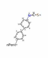 CCCCCc1ccc(-c2ccc(N=C=S)cc2)cc1